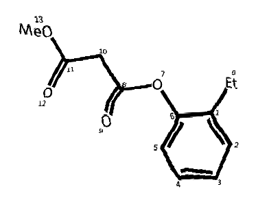 CCc1ccccc1OC(=O)CC(=O)OC